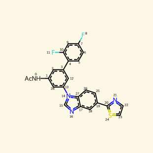 CC(=O)Nc1cc(-c2ccc(F)cc2F)cc(-n2cnc3cc(-c4nccs4)ccc32)c1